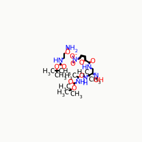 CC(C)(C)OC(=O)NCCON.CC(NC(=O)OC(C)(C)C)ONC(C)(C)/C(CNC(=O)c1ccc([N+](=O)[O-])o1)=N\O